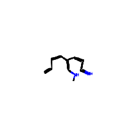 C=C/C=C\C(=CNC)/C=C\C=N